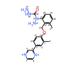 Cc1cc(-c2cnccn2)ccc1OCc1c(C)cccc1N(N)C(=O)NN